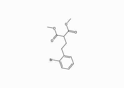 COC(=O)C(CCc1ccccc1Br)C(=O)OC